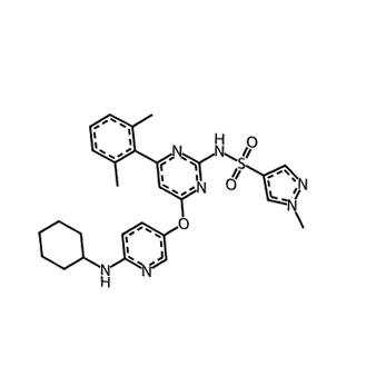 Cc1cccc(C)c1-c1cc(Oc2ccc(NC3CCCCC3)nc2)nc(NS(=O)(=O)c2cnn(C)c2)n1